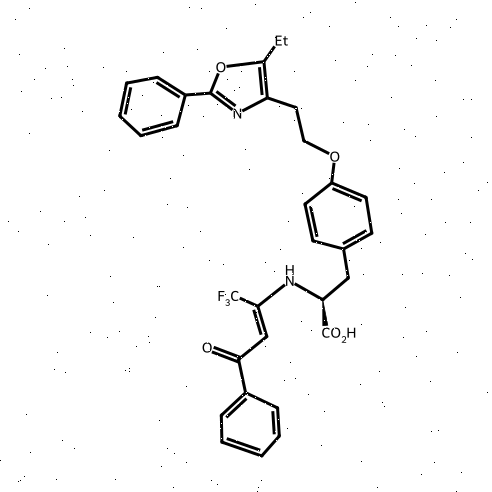 CCc1oc(-c2ccccc2)nc1CCOc1ccc(C[C@H](NC(=CC(=O)c2ccccc2)C(F)(F)F)C(=O)O)cc1